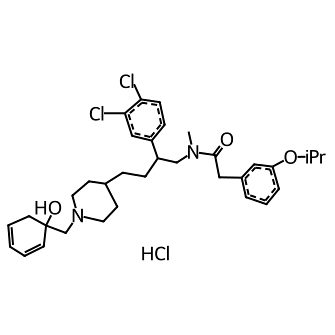 CC(C)Oc1cccc(CC(=O)N(C)CC(CCC2CCN(CC3(O)C=CC=CC3)CC2)c2ccc(Cl)c(Cl)c2)c1.Cl